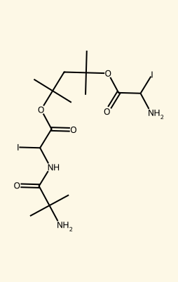 CC(C)(CC(C)(C)OC(=O)C(I)NC(=O)C(C)(C)N)OC(=O)C(N)I